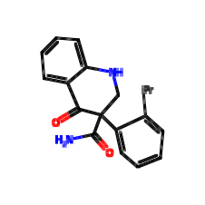 CC(C)c1ccccc1C1(C(N)=O)CNc2ccccc2C1=O